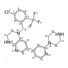 FC(F)(F)c1ccc(Cl)cc1CN1CCNc2ncc(-c3ccnc(N4CCNCC4)c3)cc21